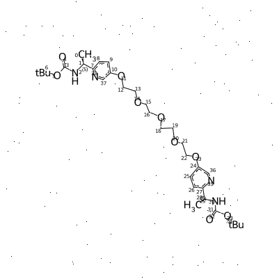 C[C@H](NC(=O)OC(C)(C)C)c1ccc(OCCOCCOCCOCCOc2ccc([C@H](C)NC(=O)OC(C)(C)C)nc2)cn1